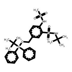 CC(C)(C)NS(=O)(=O)c1cc(CO[Si](c2ccccc2)(c2ccccc2)C(C)(C)C)ccc1NS(C)(=O)=O